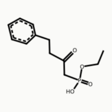 CCOP(=O)(O)CC(=O)CCc1ccccc1